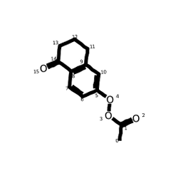 CC(=O)OOc1ccc2c(c1)CCCC2=O